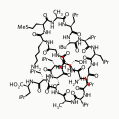 CC[C@H](C)[C@H](NC(=O)[C@H](CC(C)C)NC(=O)[C@H](C)NC(=O)[C@H](CCSC)NC(=O)[C@H](CCCCN)NC(=O)CNC(=O)[C@H](CC(C)C)NC(=O)[C@H](CO)NC(=O)[C@H](CC(C)C)NC(=O)[C@H](CO)NC(=O)[C@@H](N)CC(C)C)C(=O)N[C@H](C(=O)N[C@@H](CC(C)C)C(=O)NCC(=O)NCC(=O)N[C@H](C(=O)N[C@@H](C)C(=O)NCC(=O)N[C@@H](CC(C)C)C(=O)N[C@@H](CC(C)C)C(=O)O)C(C)C)C(C)C